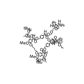 C=CCOC(=O)N[C@@H](C(=O)N[C@H](C)C(=O)Nc1ccc(COC(=O)Nc2cc(OCCCCCOc3cc(NC(=O)OCc4ccc(NC(=O)OCCOCCC(=O)N[C@@H](C(=O)NC(C)C)C(C)C)cc4)c(C(=O)N4C=C(C)C[C@H]4CO[Si](C)(C)C(C)(C)C)cc3OC)c(OC)cc2C(=O)N2C=C(C)C[C@H]2CO[Si](C)(C)C(C)(C)C)cc1)C(C)C